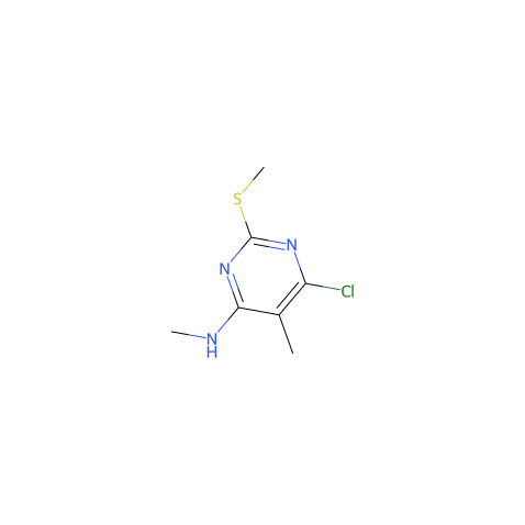 CNc1nc(SC)nc(Cl)c1C